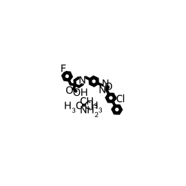 CC(C)(C)N.O=C(O)C1(Cc2ccc(F)cc2)CCN(Cc2ccc(-c3noc(-c4ccc(-c5ccccc5)c(Cl)c4)n3)cc2)CC1